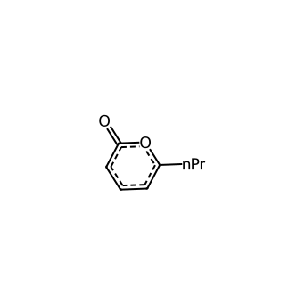 CCCc1cccc(=O)o1